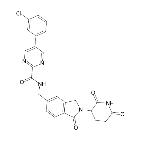 O=C1CCC(N2Cc3cc(CNC(=O)c4ncc(-c5cccc(Cl)c5)cn4)ccc3C2=O)C(=O)N1